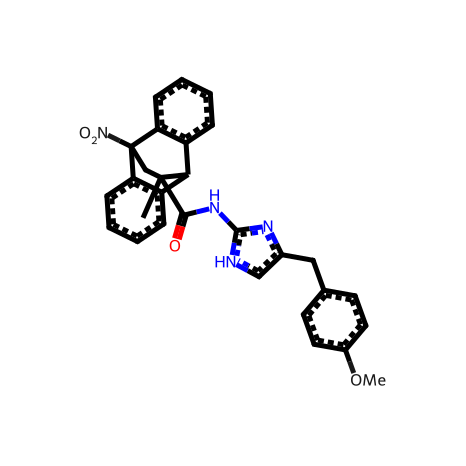 COc1ccc(Cc2c[nH]c(NC(=O)C3(C)CC4([N+](=O)[O-])c5ccccc5C3c3ccccc34)n2)cc1